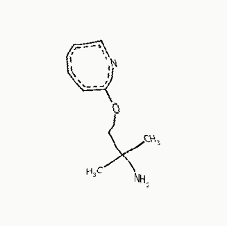 CC(C)(N)COc1ccccn1